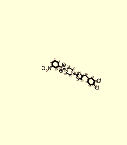 O=[N+]([O-])c1cccc(S(=O)(=O)N2CCN(c3nc(Cc4ccc(Cl)c(Cl)c4)cs3)CC2)c1